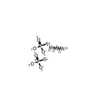 O=P([O-])([O-])[S-].O=P([O-])([O-])[S-].[Mn+2].[Mn+2].[Mn+2]